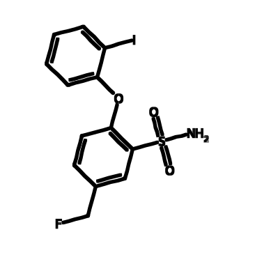 NS(=O)(=O)c1cc(CF)ccc1Oc1ccccc1I